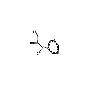 C=C(CCl)[S+]([O-])c1ccccc1